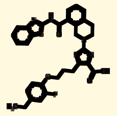 CCc1ccc(OCCCc2sc(N3CCc4cccc(C(=O)Nc5nc6ccccc6s5)c4C3)nc2C(=O)O)c(F)c1